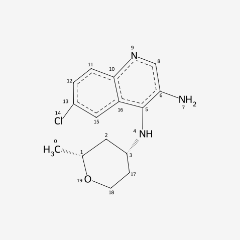 C[C@@H]1C[C@H](Nc2c(N)cnc3ccc(Cl)cc23)CCO1